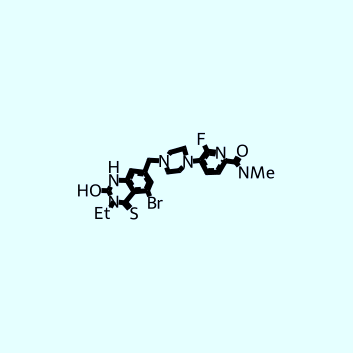 CCN1C(=S)c2c(Br)cc(CN3CCN(c4ccc(C(=O)NC)nc4F)CC3)cc2NC1O